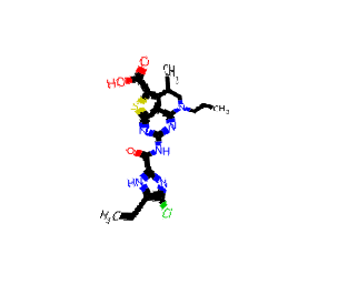 CCCN1CC(C)c2c(C(=O)O)sc3nc(NC(=O)c4nc(Cl)c(CC)[nH]4)nc1c23